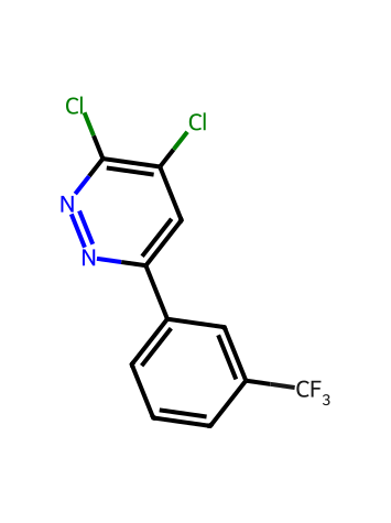 FC(F)(F)c1cccc(-c2cc(Cl)c(Cl)nn2)c1